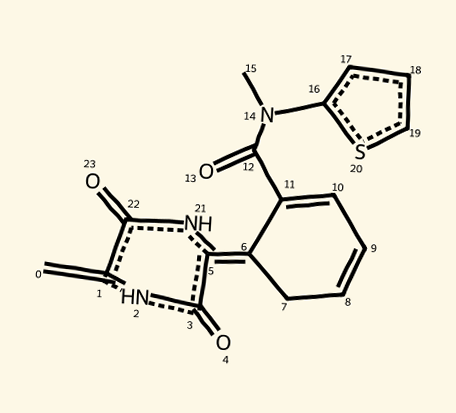 C=c1[nH]c(=O)c(=C2CC=CC=C2C(=O)N(C)c2cccs2)[nH]c1=O